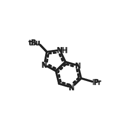 CC(C)c1ncc2nc(C(C)(C)C)[nH]c2n1